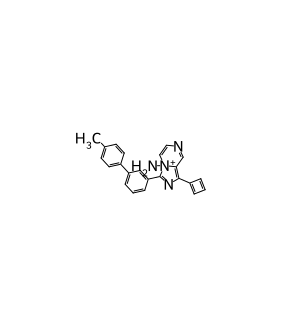 Cc1ccc(-c2cccc(C3=NC(C4=CC=C4)=C4C=NC=C[N+]34N)c2)cc1